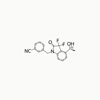 C[C@H](O)c1cccc2c1C(F)(F)C(=O)N2Cc1cccc(C#N)c1